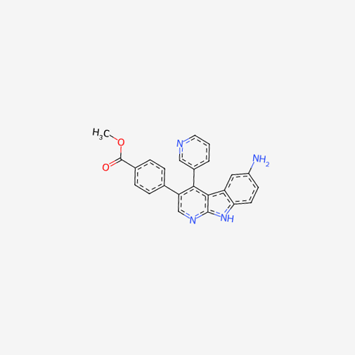 COC(=O)c1ccc(-c2cnc3[nH]c4ccc(N)cc4c3c2-c2cccnc2)cc1